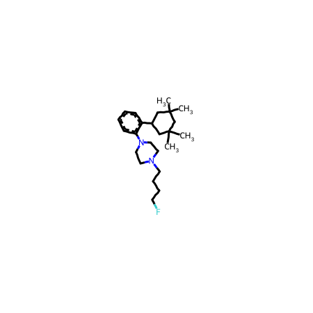 CC1(C)CC(c2ccccc2N2CCN(CCCCF)CC2)CC(C)(C)C1